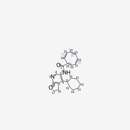 O=C(Nc1cnc2c(c1C1CCCCCC1)CCO2)C1=C/C=C\C=C/C=C\1